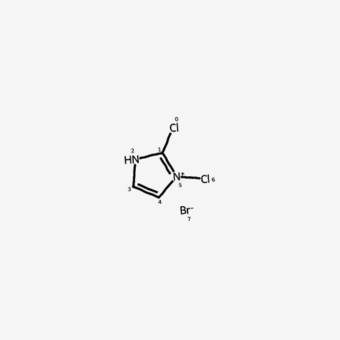 Clc1[nH]cc[n+]1Cl.[Br-]